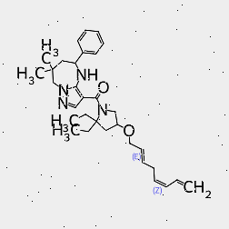 C=C/C=C\C/C=C/COC1CN(C(=O)c2cnn3c2NC(c2ccccc2)CC(C)(C)C3)C(CC)(CC)C1